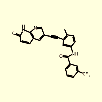 Cc1ccc(NC(=O)c2cccc(C(F)(F)F)c2)cc1C#Cc1cnc2[nH]c(=O)ccc2c1